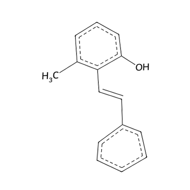 Cc1cccc(O)c1C=Cc1ccccc1